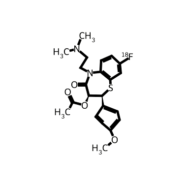 COc1ccc([C@@H]2Sc3cc([18F])ccc3N(CCN(C)C)C(=O)[C@@H]2OC(C)=O)cc1